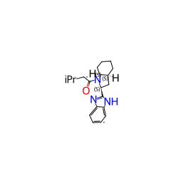 CC(C)[CH]C(=O)N1[C@H](c2nc3cc[c]cc3[nH]2)C[C@@H]2CCCC[C@@H]21